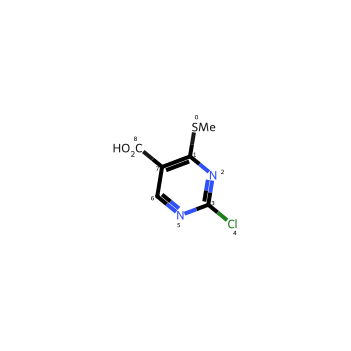 CSc1nc(Cl)ncc1C(=O)O